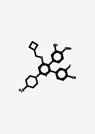 COc1ccc(-c2c(OCC3CCC3)cc(N3CCC(N)CC3)nc2-c2ccc(C#N)c(F)c2)cc1O